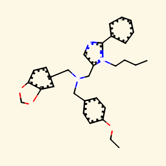 CCCCn1c(CN(Cc2ccc(OCC)cc2)Cc2ccc3c(c2)OCO3)cnc1-c1ccccc1